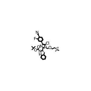 CC(C)(C)OC(=O)N[C@@H](Cc1ccccc1)c1nc(-c2ccc(C#N)c(F)c2)c(Cl)n1COCC[Si](C)(C)C